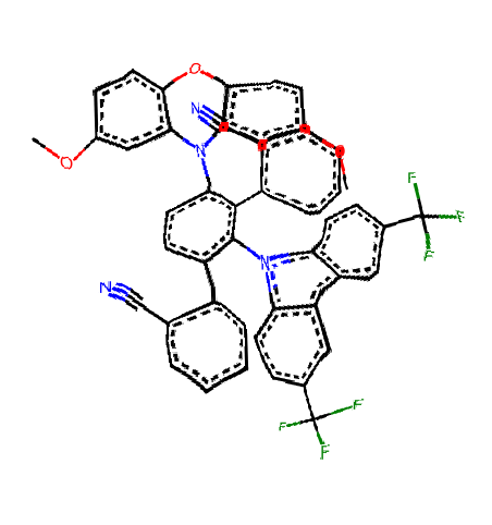 COc1ccc2c(c1)N(c1ccc(-c3ccccc3C#N)c(-n3c4ccc(C(F)(F)F)cc4c4cc(C(F)(F)F)ccc43)c1-c1ccccc1C#N)c1cc(OC)ccc1O2